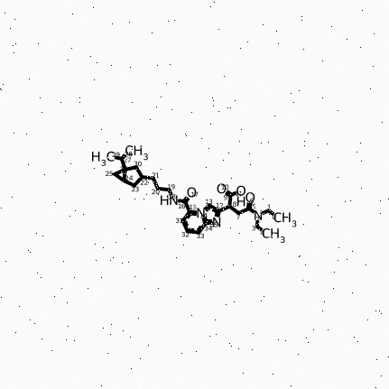 CCN(CC)C(=O)CC(C(=O)O)c1cn2c(C(=O)NCCCC3CC4CC4(C(C)C)C3)cccc2n1